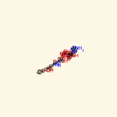 CC(C)(COP(=O)(O)OP(=O)(O)OC[C@H]1O[C@@H](n2cnc3c(N)ncnc32)[C@H](O)[C@@H]1OP(=O)(O)O)[C@@H](O)C(=O)NCCC(=O)NCCSC(=O)C[C@H](O)CCOCc1ccccc1